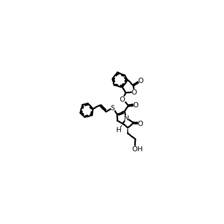 O=C(OC1OC(=O)c2ccccc21)C1=C(SC=Cc2ccccc2)C[C@@H]2[C@H](CCO)C(=O)N12